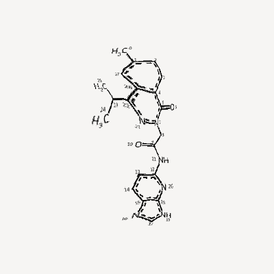 Cc1ccc2c(=O)n(CC(=O)Nc3ccc4nc[nH]c4n3)nc(C(C)C)c2c1